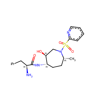 CC(C)C[C@H](N)C(=O)N[C@H]1CC[C@@H](C)N(S(=O)(=O)c2ccccn2)C[C@@H]1O